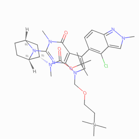 CN(C(=O)OC(C)(C)C)[C@H]1C[C@H]2CC[C@@H]1N2c1nc2c(c(-c3ccc4nn(C)cc4c3Cl)cn2COCC[Si](C)(C)C)c(=O)n1C